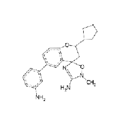 CN1OC2(CC(C3CCCC3)Oc3ccc(-c4cccc(N)c4)cc32)N=C1N